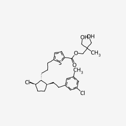 Cc1cc(Cl)cc(CC[C@H]2CC[C@@H](Cl)[C@@H]2CCCc2ccc(C(=O)OCC(C)(CO)CO)s2)c1